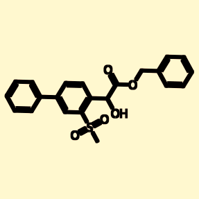 CS(=O)(=O)c1cc(-c2ccccc2)ccc1C(O)C(=O)OCc1ccccc1